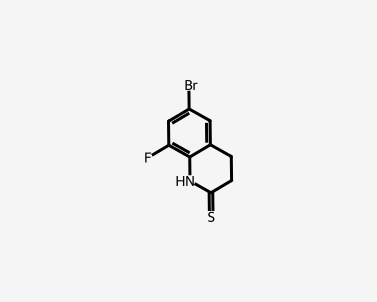 Fc1cc(Br)cc2c1NC(=S)CC2